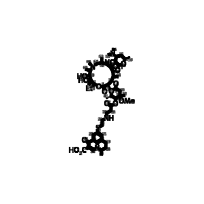 CCC1OC(=O)[C@H](C)[C@@H](OC2CC(C)(OC)C(OC(=O)CCNCCSc3cc4c5c(c3)c(=O)c(C(=O)O)cn5C(C)CC4)[C@H](C)O2)C(C)[C@@H](O[C@@H]2O[C@H](C)C[C@H](N(C)C)C2O)[C@](C)(O)CC(C)CN(C)C(C)C(O)C1(C)O